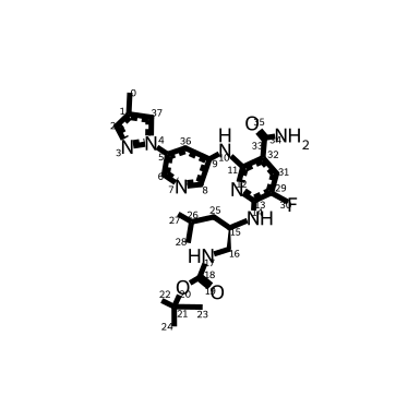 Cc1cnn(-c2cncc(Nc3nc(N[C@@H](CNC(=O)OC(C)(C)C)CC(C)C)c(F)cc3C(N)=O)c2)c1